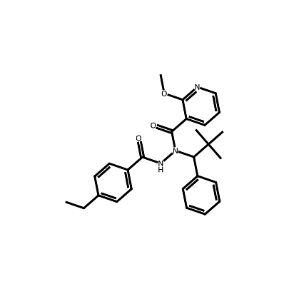 CCc1ccc(C(=O)NN(C(=O)c2cccnc2OC)C(c2ccccc2)C(C)(C)C)cc1